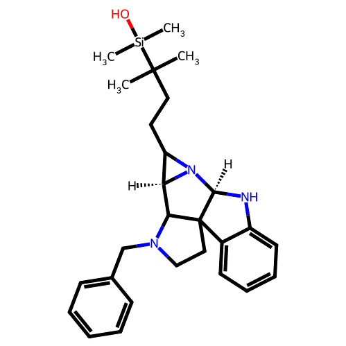 CC(C)(CCC1[C@@H]2C3N(Cc4ccccc4)CCC34c3ccccc3N[C@@H]4N12)[Si](C)(C)O